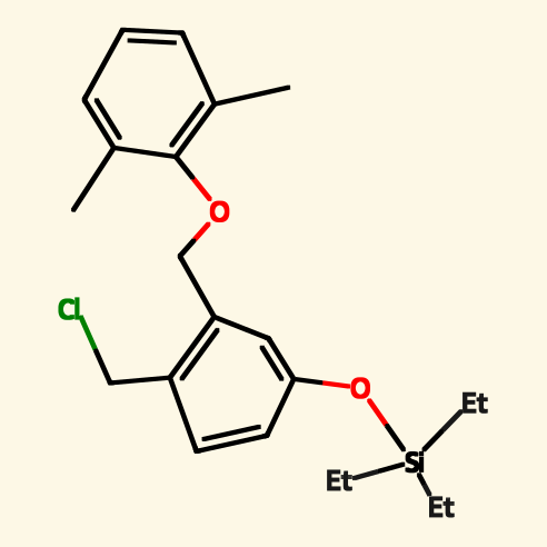 CC[Si](CC)(CC)Oc1ccc(CCl)c(COc2c(C)cccc2C)c1